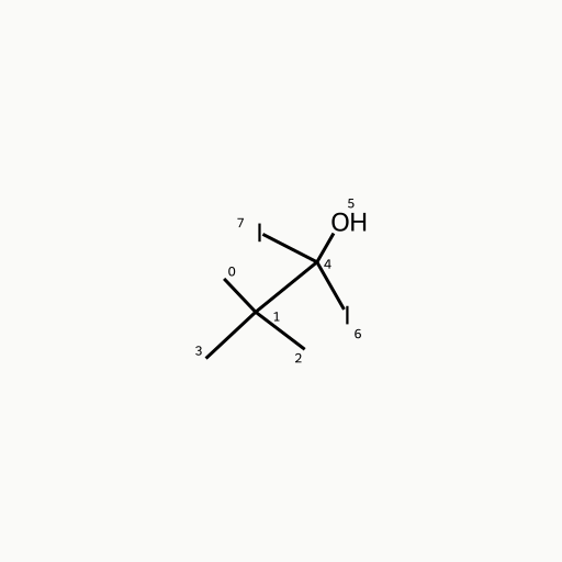 CC(C)(C)C(O)(I)I